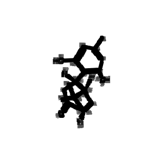 Cc1cc(O)c([C@H]2CC(=O)[C@H]3C[C@@H]2C3(C)C)c(O)c1